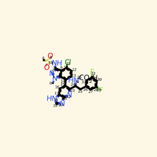 Cn1nc(NS(C)(=O)=O)c2c(Cl)ccc(-c3cc4[nH]cnc4nc3C(Cc3cc(F)cc(F)c3)NC(=O)O)c21